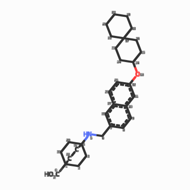 O=C(O)C12CCC(NCc3ccc4cc(OC5CCC6(CCCCC6)CC5)ccc4c3)(CC1)CC2